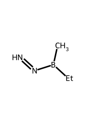 CCB(C)N=N